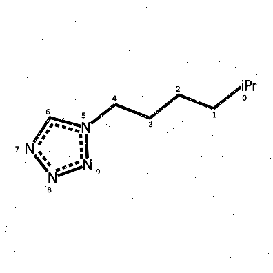 CC(C)CCCCn1cnnn1